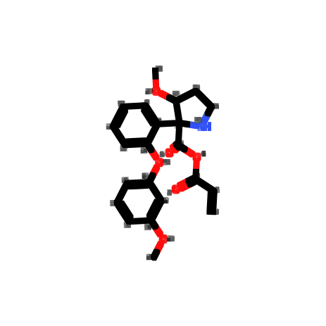 C=CC(=O)OC(=O)C1(c2ccccc2Oc2cccc(OC)c2)NCCC1OC